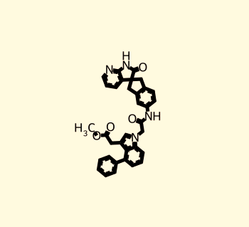 COC(=O)Cc1cn(CC(=O)Nc2ccc3c(c2)CC2(C3)C(=O)Nc3ncccc32)c2cccc(-c3ccccc3)c12